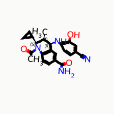 CC(=O)N1c2ccc(C(N)=O)cc2[C@H](Nc2ccc(C#N)cc2O)[C@@H](C)[C@@H]1C1CC1